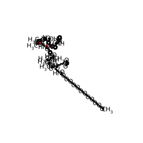 COCCOCCOCCOCCOCCOCCOCCOCCOCCOCCOCCOCC(=O)NCCCC[C@@H](NC(=O)CCCCCN1C(=O)C=CC1=O)C(=O)N[C@H](C)C(=O)N[C@H](C(=O)N[C@@H](C)C(=O)Nc1ccc(COC(=O)NCCOC23CC4(C)CC(C)(CC(Cn5ncc(-c6ccc(N7CCc8cccc(C(=O)Nc9nc%10ccccc%10s9)c8C7)cc6C(=O)O)c5C)(C4)C2)C3)cc1)C(C)C